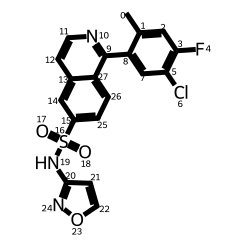 Cc1cc(F)c(Cl)cc1-c1nccc2cc(S(=O)(=O)Nc3ccon3)ccc12